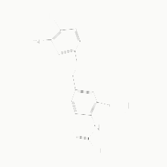 CCC(=O)Nc1ccc(COc2ccc(F)c(Br)c2)cc1C(=O)O